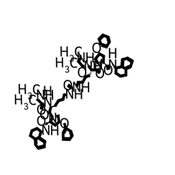 CN[C@@H](C)C(=O)N[C@@H](CCCCNC(=O)NCCCC[C@H](NC(=O)[C@H](C)NC)C(=O)N1C[C@@H](Oc2ccccc2)C[C@H]1C(=O)N[C@@H]1CCCc2ccccc21)C(=O)N1C[C@@H](Oc2ccccc2)C[C@H]1C(=O)N[C@@H]1CCCc2ccccc21